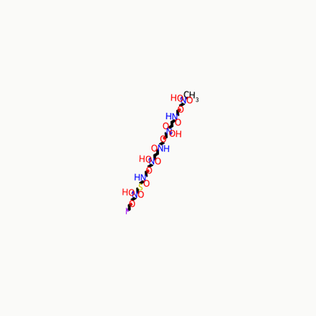 CC(=O)N(O)CCOCCNC(=O)CCC(=O)N(O)CCOCCNC(=O)CCC(=O)N(O)CCOCCNC(=O)CSCC(=O)N(O)CCOCCI